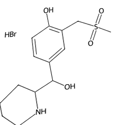 Br.CS(=O)(=O)Cc1cc(C(O)C2CCCCN2)ccc1O